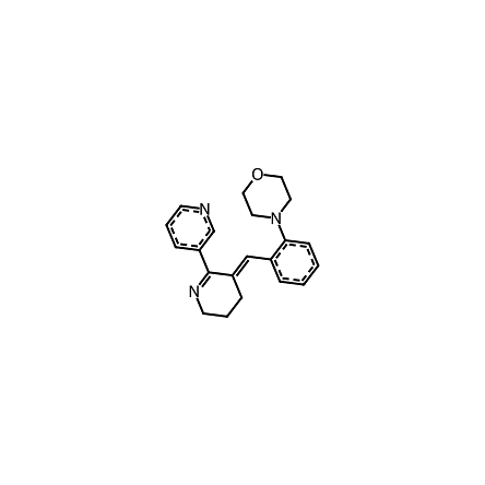 C(=C1CCCN=C1c1cccnc1)c1ccccc1N1CCOCC1